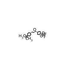 CN(C)c1ccc(C=CC(=O)c2ccc(S(=O)(=O)C(F)F)cc2)cc1